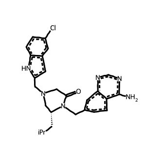 CC(C)C[C@@H]1CN(Cc2cc3cc(Cl)ccc3[nH]2)CC(=O)N1Cc1ccc2c(N)ncnc2c1